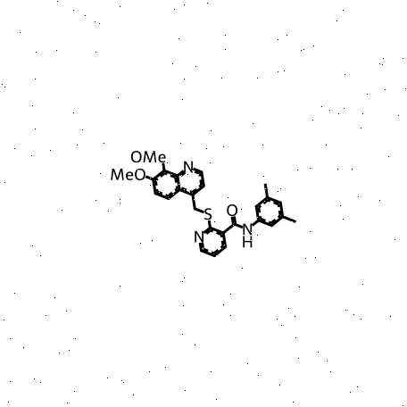 COc1ccc2c(CSc3ncccc3C(=O)Nc3cc(C)cc(C)c3)ccnc2c1OC